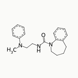 CN(CCNC(=O)N1CCCCc2ccccc21)c1ccccc1